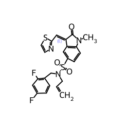 C=CCN(Cc1ccc(F)cc1F)S(=O)(=O)c1ccc2c(c1)/C(=C\c1nccs1)C(=O)N2C